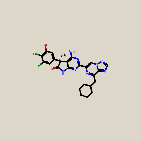 C[C@@]1(c2cc(O)c(Cl)c(F)c2)C(=O)Nc2nc(-c3cn4ncnc4c(CC4CCCCC4)n3)nc(N)c21